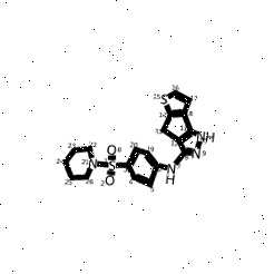 O=S(=O)(c1ccc(Nc2n[nH]c3c2Cc2sccc2-3)cc1)N1CCCCC1